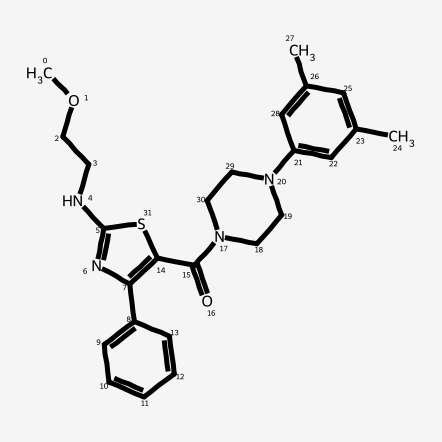 COCCNc1nc(-c2ccccc2)c(C(=O)N2CCN(c3cc(C)cc(C)c3)CC2)s1